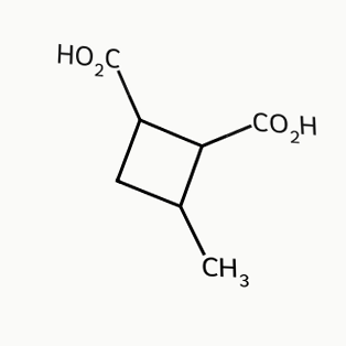 CC1CC(C(=O)O)C1C(=O)O